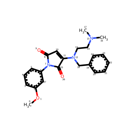 COc1cccc(N2C(=O)C=C(N(CCN(C)C)Cc3ccccc3)C2=O)c1